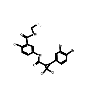 O=C(NCC(F)(F)F)c1cc(NC(=O)C2C(c3ccc(Br)c(Br)c3)C2(Cl)Cl)ccc1Cl